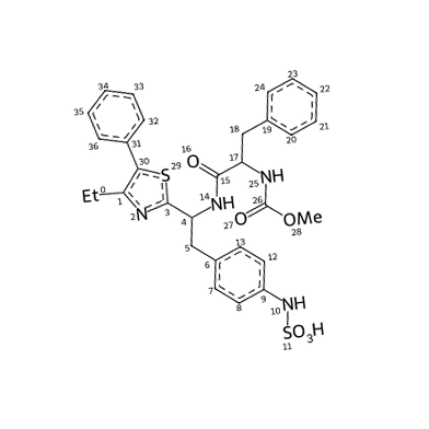 CCc1nc(C(Cc2ccc(NS(=O)(=O)O)cc2)NC(=O)C(Cc2ccccc2)NC(=O)OC)sc1-c1ccccc1